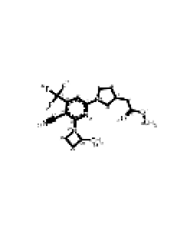 COC(=O)CC1CCN(c2cc(C(F)(F)F)c(C#N)c(N3CC[C@@H]3C)n2)C1